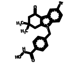 CC1(C)CC(=O)c2c(n(Cc3ccc(C(=O)NO)cc3)c3ccc(Br)cc23)C1